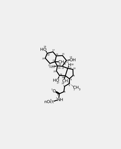 CCCCCCCCNC(=O)CC[C@@H](C)C1CC[C@H]2C3[C@H](O)CC4C[C@H](O)CCC4(C)[C@H]3C[C@H](O)C12C